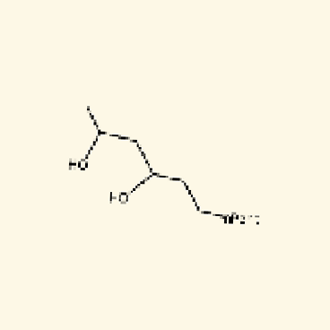 CCCCCCCC(O)CC(C)O